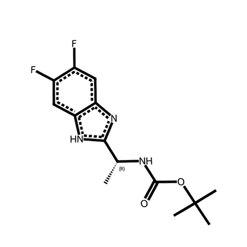 C[C@@H](NC(=O)OC(C)(C)C)c1nc2cc(F)c(F)cc2[nH]1